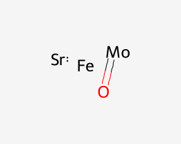 [Fe].[O]=[Mo].[Sr]